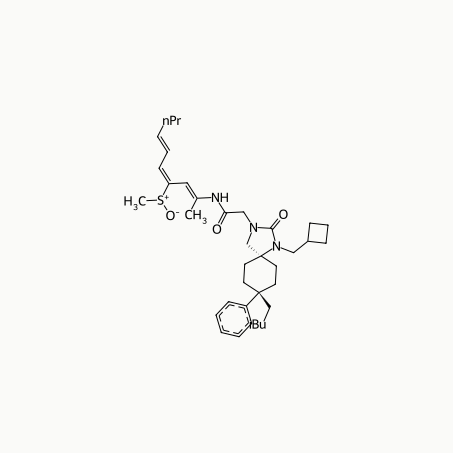 CCC/C=C/C=C(\C=C(/C)NC(=O)CN1C[C@]2(CC[C@@](CC(C)CC)(c3ccccc3)CC2)N(CC2CCC2)C1=O)[S+](C)[O-]